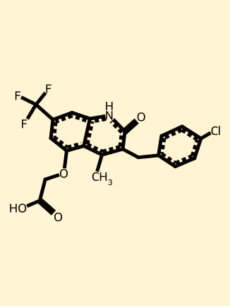 Cc1c(Cc2ccc(Cl)cc2)c(=O)[nH]c2cc(C(F)(F)F)cc(OCC(=O)O)c12